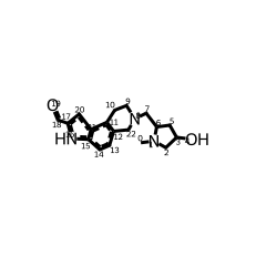 CN1CC(O)CC1CN1CCc2c(ccc3[nH]c(C=O)cc23)C1